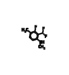 CBc1ccc(C)c(F)c1C(F)F